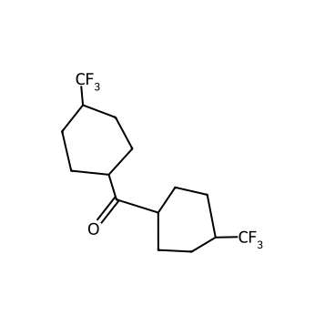 O=C(C1CCC(C(F)(F)F)CC1)C1CCC(C(F)(F)F)CC1